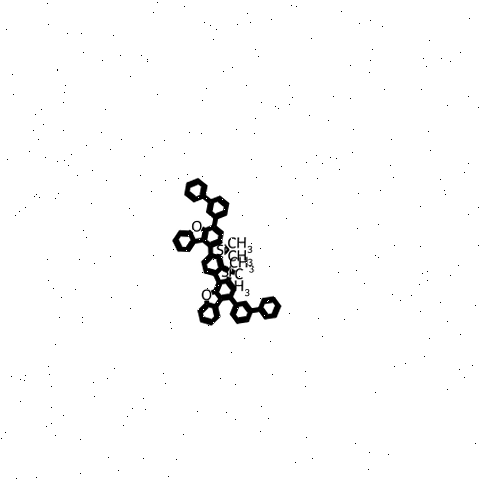 C[Si]1(C)c2cc(-c3cccc(-c4ccccc4)c3)c3c(oc4ccccc43)c2-c2ccc3c(c21)[Si](C)(C)c1cc(-c2cccc(-c4ccccc4)c2)c2oc4ccccc4c2c1-3